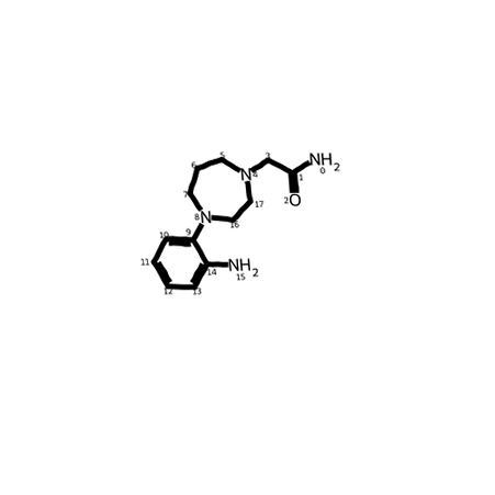 NC(=O)CN1CCCN(c2ccccc2N)CC1